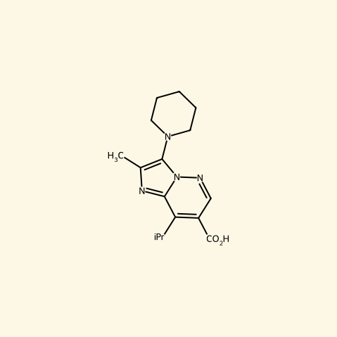 Cc1nc2c(C(C)C)c(C(=O)O)cnn2c1N1CCCCC1